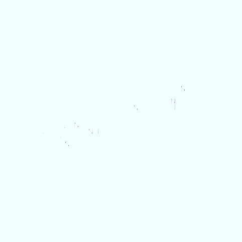 CC(C)(C)OC(=O)N1CCCC1c1ncc(-c2ccc(-c3nc4cc(-c5cnc(C6CCCC6)[nH]5)ccc4s3)cc2)[nH]1